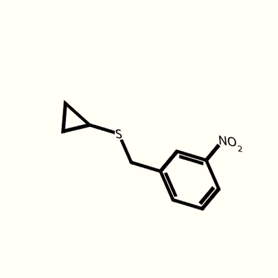 O=[N+]([O-])c1cccc(CSC2CC2)c1